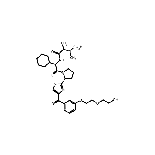 CC(C(=O)NC(C(=O)N1CCC[C@H]1c1nc(C(=O)c2cccc(OCCOCCO)c2)cs1)C1CCCCC1)N(C)C(=O)O